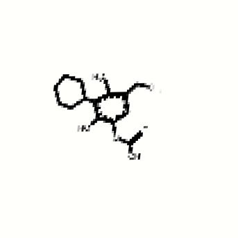 CCc1cc(OC(=O)O)c(O)c(C2CCCCC2)c1C